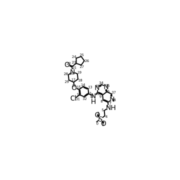 CS(=O)(=O)CCNc1cc2c(Nc3ccc(OC4CCN(C(=O)C5CCCC5)CC4)c(Cl)c3)ncnc2cn1